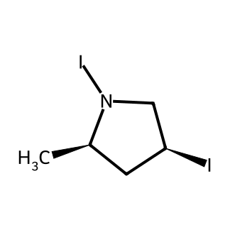 C[C@@H]1C[C@H](I)CN1I